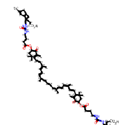 CCC1=CC2C(C1)CC2(CNC(=O)NCCCC(=O)OC1CC(C)(C)C(C=CC(C)=CC=CC(C)=CC=CC=C(C)C=CC=C(C)C=CC2=C(C)C(=O)C(OC(=O)CCCNC(=O)NCC3(CC(=O)O)CC4CC(CC)=CC43)CC2(C)C)=C(C)C1=O)CC(=O)O